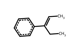 CC=C(CC)c1ccccc1